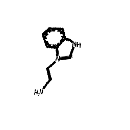 NCCN1[CH]Nc2ccccc21